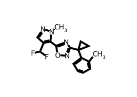 Cc1ccccc1C1(c2noc(-c3c(C(F)F)cnn3C)n2)CC1